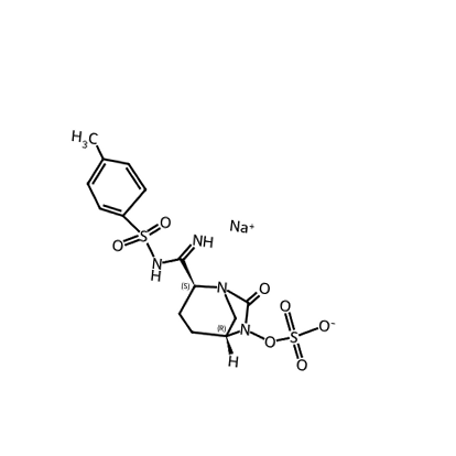 Cc1ccc(S(=O)(=O)NC(=N)[C@@H]2CC[C@@H]3CN2C(=O)N3OS(=O)(=O)[O-])cc1.[Na+]